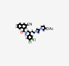 CC(=O)OC1CCN(C2CN(CC[C@H](CN(C)C(=O)c3cc(C#N)cc4ccccc34)c3ccc(Cl)c(Cl)c3)C2)C1